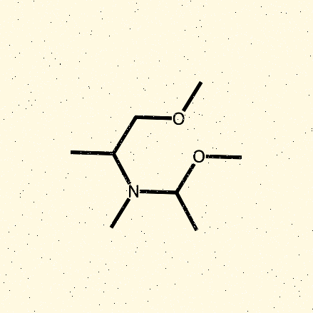 COCC(C)N(C)C(C)OC